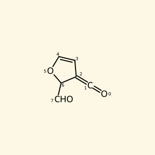 O=C=C1C=COC1C=O